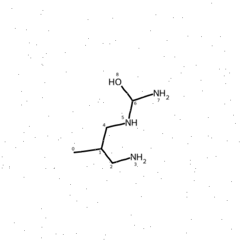 CC(CN)CNC(N)O